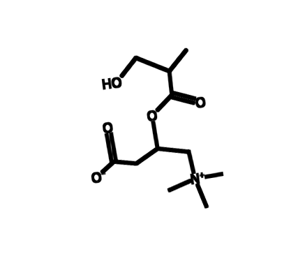 CC(CO)C(=O)OC(CC(=O)[O-])C[N+](C)(C)C